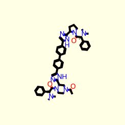 CC(=O)N1CCN(C(=O)[C@@H](c2ccccc2)N(C)C)C(c2ncc(-c3ccc(-c4ccc(-c5cnc(C6CCCN6C(=O)[C@@H](c6ccccc6)N(C)C)[nH]5)cc4)cc3)[nH]2)C1